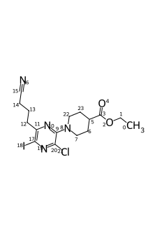 CCOC(=O)C1CCN(c2nc(CCCC#N)c(I)nc2Cl)CC1